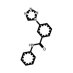 O=C(Nc1ccccc1)c1cccc(-n2cnnn2)c1